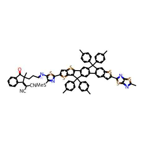 CSc1nc(-c2cc3sc4c(c3s2)C(c2ccc(C)cc2)(c2ccc(C)cc2)c2cc3c(cc2-4)C(c2ccc(C)cc2)(c2ccc(C)cc2)c2cc4sc(-c5nc6sc(C)nc6s5)cc4cc2-3)sc1/N=C/CCC1(C)C(=O)c2ccccc2C1=C(C#N)C#N